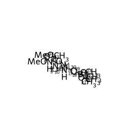 COC(=O)N[C@H](C(=O)N1CCC[C@H]1c1ncc(-c2ccc(B3OC(C)(C)C(C)(C)O3)cc2)[nH]1)[C@@H](C)OC